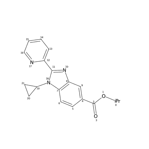 CC(C)OC(=O)c1ccc2c(c1)nc(-c1ccccn1)n2C1CC1